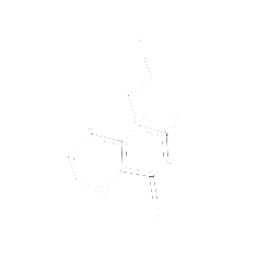 O=c1[nH]c(=O)n(CCCl)c2ccccc12